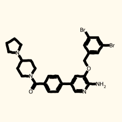 Nc1ncc(-c2ccc(C(=O)N3CCC(N4CCCC4)CC3)cc2)cc1OCc1cc(Br)cc(Br)c1